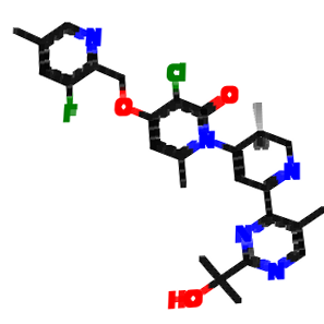 Cc1cnc(COc2cc(C)n(C3=CC(c4nc(C(C)(C)O)ncc4C)=NC[C@H]3C)c(=O)c2Cl)c(F)c1